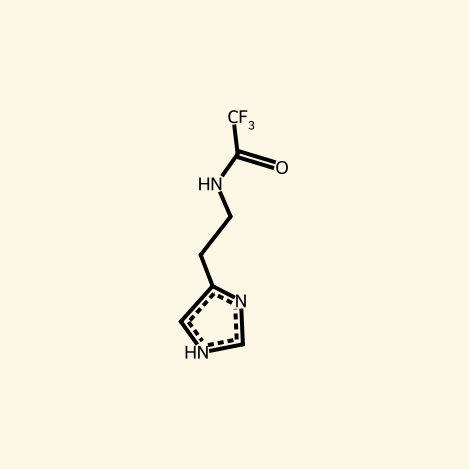 O=C(NCCc1c[nH]cn1)C(F)(F)F